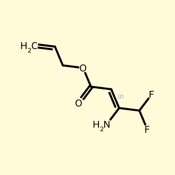 C=CCOC(=O)/C=C(\N)C(F)F